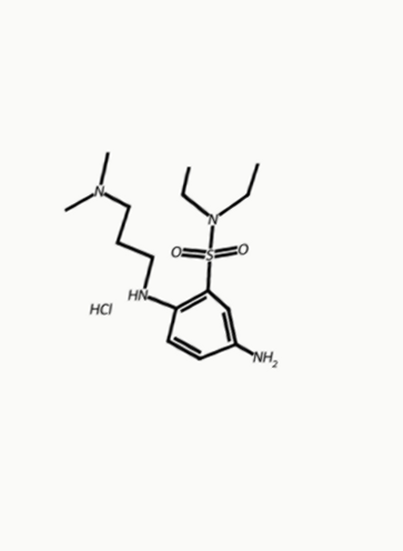 CCN(CC)S(=O)(=O)c1cc(N)ccc1NCCCN(C)C.Cl